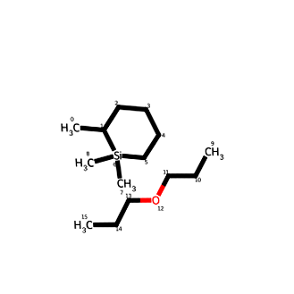 CC1CCCC[Si]1(C)C.CCCOCCC